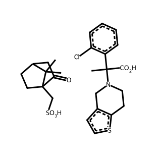 CC(C(=O)O)(c1ccccc1Cl)N1CCc2sccc2C1.CC1(C)C2CCC1(CS(=O)(=O)O)C(=O)C2